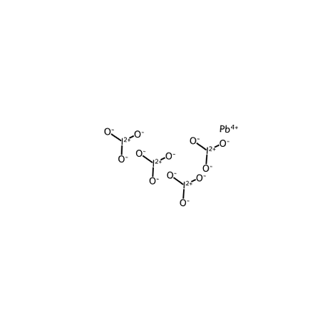 [O-][I+2]([O-])[O-].[O-][I+2]([O-])[O-].[O-][I+2]([O-])[O-].[O-][I+2]([O-])[O-].[Pb+4]